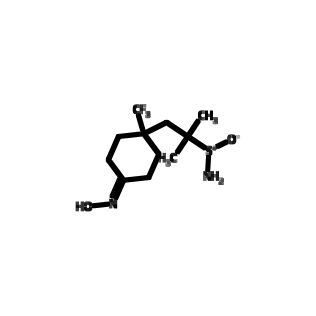 CC(C)(CC1(C(F)(F)F)CCC(=NO)CC1)[S+](N)[O-]